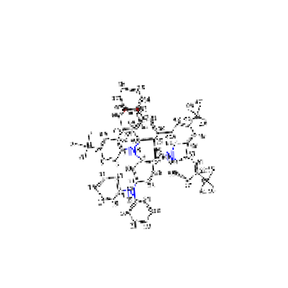 CC(C)(C)c1ccc(N2c3cc(N(c4ccccc4)c4ccccc4)ccc3B3c4c(cc(-c5ccccc5)cc42)-c2cc(C(C)(C)C)cc4c5cc(C(C)(C)C)ccc5n3c24)c(-c2ccccc2)c1